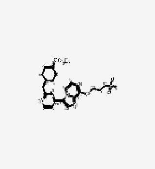 CCOC(=O)C1CCC(Cc2nccc(-c3cnc4c(OCCCS(C)(=O)=O)cccn34)n2)CC1